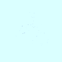 C=C1/C=C(Cl)\C=C/CCC(C(F)(F)C(=O)N[C@H](CN2CCC2)[C@H](O)c2cc(F)c3c(c2)OCCO3)C1